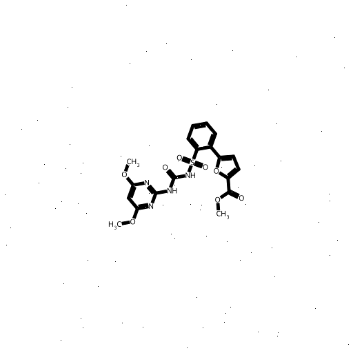 COC(=O)c1ccc(-c2ccccc2S(=O)(=O)NC(=O)Nc2nc(OC)cc(OC)n2)o1